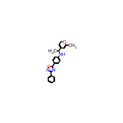 CC1=CC(C(C)Nc2ccc(-c3nc(-c4ccccc4)no3)cc2)=CCO1